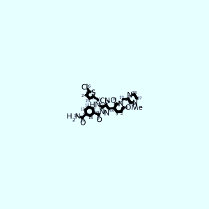 COc1ccc(-c2nn(C(=O)c3cccc(C(N)=O)c3)c(NCc3ccc(Cl)s3)c2C#N)c(=O)n1Cc1cnccn1